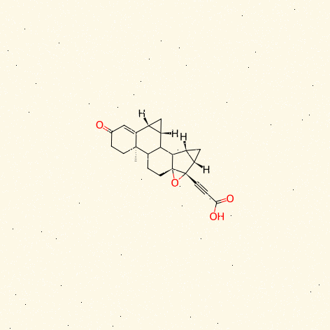 C[C@]12CCC(=O)C=C1[C@@H]1C[C@@H]1C1C2CC[C@]23O[C@@]2(C#CC(=O)O)[C@H]2C[C@H]2C13